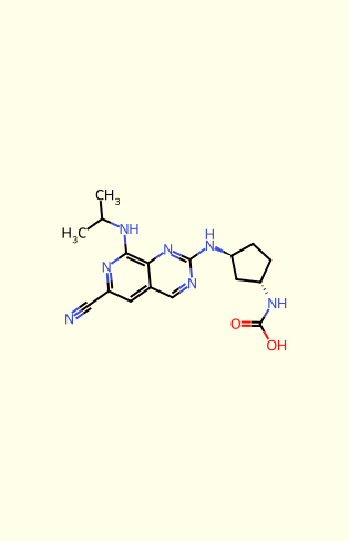 CC(C)Nc1nc(C#N)cc2cnc(N[C@H]3CC[C@H](NC(=O)O)C3)nc12